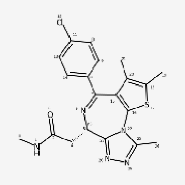 CNC(=O)C[C@@H]1N=C(c2ccc(Cl)cc2)c2c(sc(C)c2C)-n2c(C)nnc21